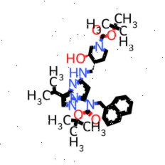 CC(C)c1cnn2c(N(Cc3cccc4ccccc34)C(=O)OC(C)(C)C)cc(NC[C@H]3CCN(C(=O)OC(C)(C)C)C[C@@H]3O)nc12